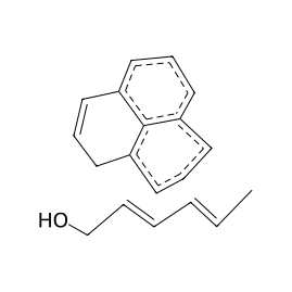 C/C=C/C=C/CO.C1=Cc2cccc3cccc(c23)C1